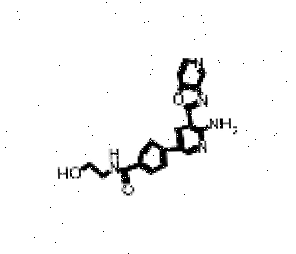 Nc1ncc(-c2ccc(C(=O)NCCO)cc2)cc1-c1nc2cnccc2o1